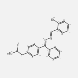 CCCCC(F)Cc1ccc(C(=NN=Cc2ccccc2CC)c2ccccc2)cc1